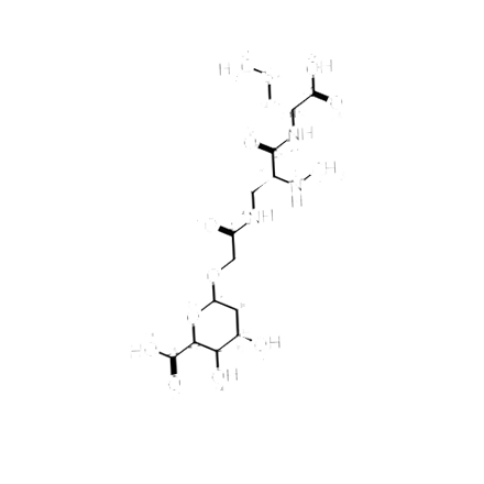 CN[C@@H](CNC(=O)COC1C[C@@H](O)C(O)C(C(=O)O)O1)C(=O)N[C@H](CSC)C(=O)O